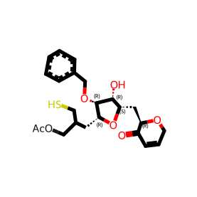 CC(=O)OCC(CS)C[C@H]1O[C@@H](C[C@H]2OCC=CC2=O)[C@@H](O)[C@H]1OCc1ccccc1